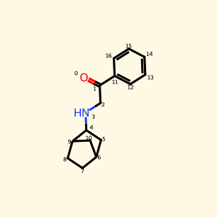 O=C(CNC1CC2CCC1C2)c1ccccc1